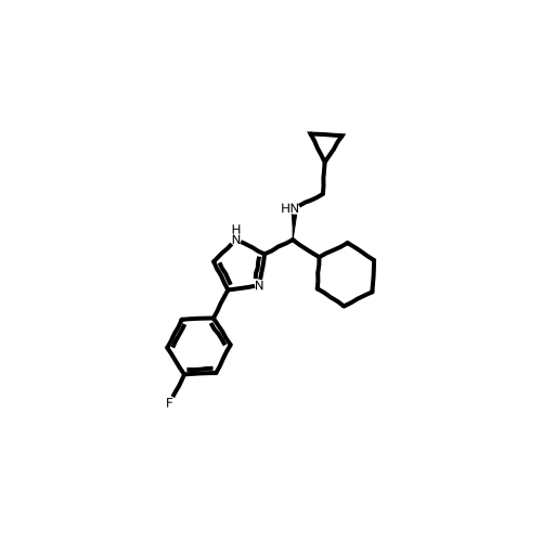 Fc1ccc(-c2c[nH]c([C@@H](NCC3CC3)C3CCCCC3)n2)cc1